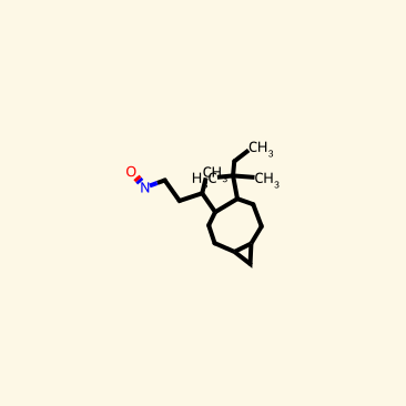 CCC(C)(C)C1CCC2CC2CCC1C(C)CCN=O